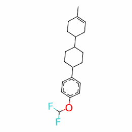 CC1=CCC(C2CCC(c3ccc(OC(F)F)cc3)CC2)CC1